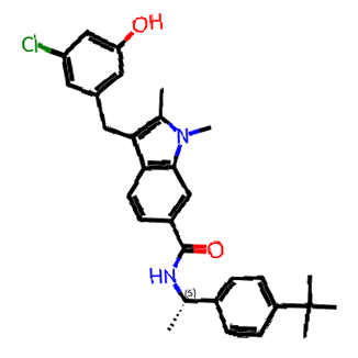 Cc1c(Cc2cc(O)cc(Cl)c2)c2ccc(C(=O)N[C@@H](C)c3ccc(C(C)(C)C)cc3)cc2n1C